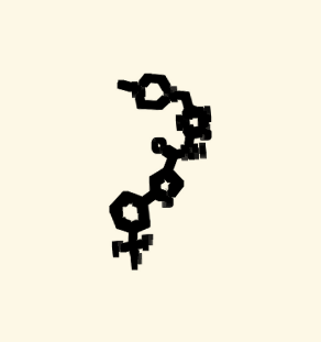 CN1CCN(Cc2nsc(NC(=O)c3csc(-c4cccc(C(F)(F)F)c4)c3)n2)CC1